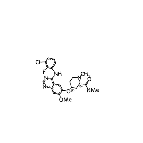 CNC(=O)[C@@H]1C[C@H](Oc2cc3c(Nc4cccc(Cl)c4F)ncnc3cc2OC)CCN1C